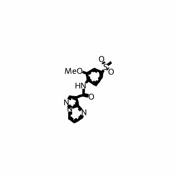 COc1cc(S(C)(=O)=O)ccc1NC(=O)c1cnn2cccnc12